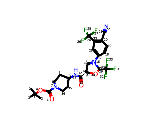 CC(C)(C)OC(=O)N1CCC(NC(=O)[C@@H]2CN(c3ccc(C#N)c(C(F)(F)F)c3)[C@@H](C(F)(F)F)O2)CC1